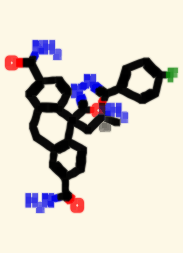 C[C@H](N)CC1(c2nnc(-c3ccc(F)cc3)o2)c2ccc(C(N)=O)cc2CCc2cc(C(N)=O)ccc21